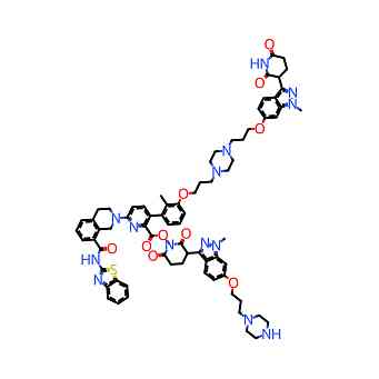 Cc1c(OCCCN2CCN(CCCOc3ccc4c(C5CCC(=O)NC5=O)nn(C)c4c3)CC2)cccc1-c1ccc(N2CCc3cccc(C(=O)Nc4nc5ccccc5s4)c3C2)nc1C(=O)ON1C(=O)CCC(c2nn(C)c3cc(OCCCN4CCNCC4)ccc23)C1=O